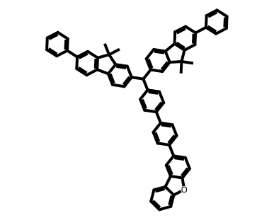 CC1(C)c2cc(-c3ccccc3)ccc2-c2ccc(C(c3ccc(-c4ccc(-c5ccc6oc7ccccc7c6c5)cc4)cc3)c3ccc4c(c3)C(C)(C)c3cc(-c5ccccc5)ccc3-4)cc21